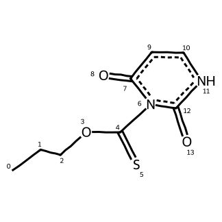 CCCOC(=S)n1c(=O)cc[nH]c1=O